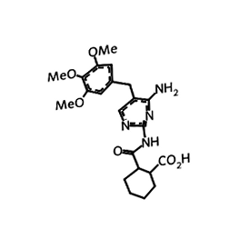 COc1cc(Cc2cnc(NC(=O)C3CCCCC3C(=O)O)nc2N)cc(OC)c1OC